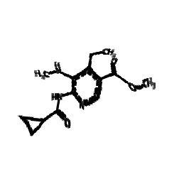 CCc1c(C(=O)OC)cnc(NC(=O)C2CC2)c1NC